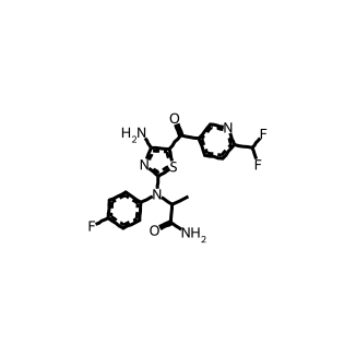 CC(C(N)=O)N(c1ccc(F)cc1)c1nc(N)c(C(=O)c2ccc(C(F)F)nc2)s1